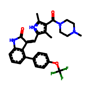 Cc1[nH]c(C=C2C(=O)Nc3cccc(-c4ccc(OC(F)(F)F)cc4)c32)c(C)c1C(=O)N1CCN(C)CC1